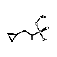 CCCCOP(=O)(O)NCC1CC1